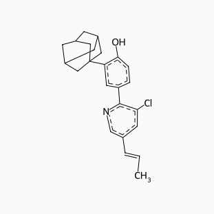 C/C=C/c1cnc(-c2ccc(O)c(C34CC5CC(CC(C5)C3)C4)c2)c(Cl)c1